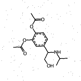 CC(=O)Oc1ccc(C(CO)NC(C)C)cc1OC(C)=O